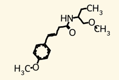 CCC(COC)NC(=O)CC=Cc1ccc(OC)cc1